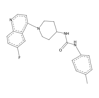 Cc1ccc(NC(=O)NC2CCN(c3ccnc4ccc(F)cc34)CC2)cc1